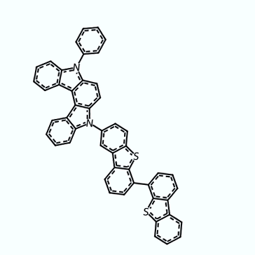 c1ccc(-n2c3ccccc3c3c4c5ccccc5n(-c5ccc6sc7c(-c8cccc9c8sc8ccccc89)cccc7c6c5)c4ccc32)cc1